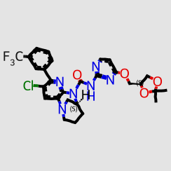 CC1(C)OC[C@H](COc2ccnc(NC(=O)N3c4nc(-c5cccc(C(F)(F)F)c5)c(Cl)cc4N4CCC[C@H]3C4)n2)O1